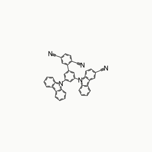 N#Cc1ccc(C#N)c(-c2cc(-n3c4ccccc4c4ccccc43)cc(-n3c4ccccc4c4cc(C#N)ccc43)c2)c1